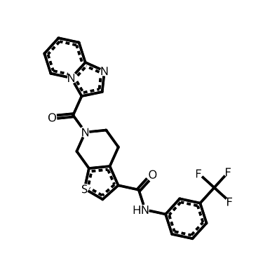 O=C(Nc1cccc(C(F)(F)F)c1)c1csc2c1CCN(C(=O)c1cnc3ccccn13)C2